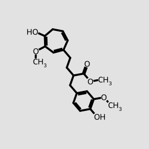 COC(=O)C(CCC1=CC(OC)=C(O)CC=C1)Cc1ccc(O)c(OC)c1